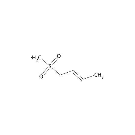 [CH2]S(=O)(=O)C/C=C/C